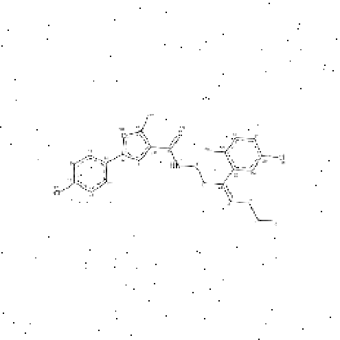 CCC/C=C(/CCNC(=O)c1cc(-c2ccc(Cl)cc2)oc1C)c1cc(Cl)ccc1C